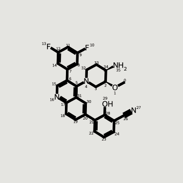 CO[C@H]1CN(c2c(-c3cc(F)cc(F)c3)cnc3ccc(-c4cccc(C#N)c4O)cc23)CC[C@H]1N